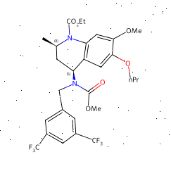 CCCOc1cc2c(cc1OC)N(C(=O)OCC)[C@H](C)C[C@@H]2N(Cc1cc(C(F)(F)F)cc(C(F)(F)F)c1)C(=O)OC